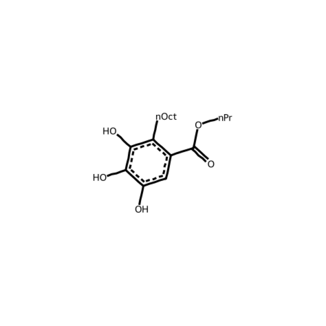 CCCCCCCCc1c(C(=O)OCCC)cc(O)c(O)c1O